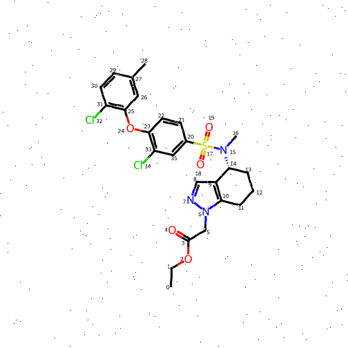 CCOC(=O)Cn1ncc2c1CCC[C@H]2N(C)S(=O)(=O)c1ccc(Oc2cc(C)ccc2Cl)c(Cl)c1